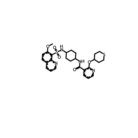 COc1ccc2cccnc2c1S(=O)(=O)NC1CCC(NC(=O)c2cccnc2OC2CCSCC2)CC1